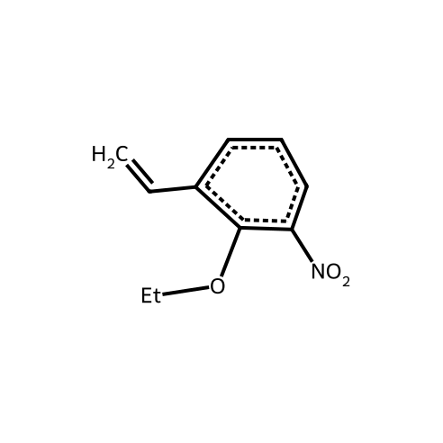 C=Cc1cccc([N+](=O)[O-])c1OCC